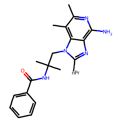 CCCc1nc2c(N)nc(C)c(C)c2n1CC(C)(C)NC(=O)c1ccccc1